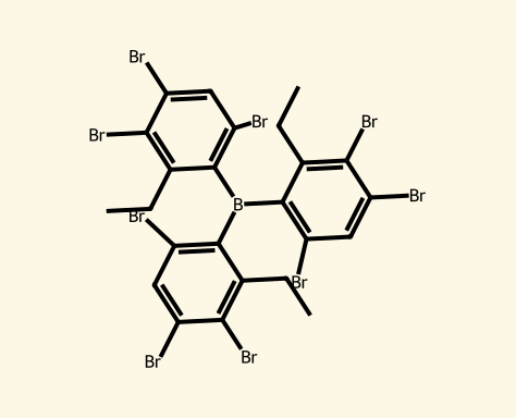 CCc1c(Br)c(Br)cc(Br)c1B(c1c(Br)cc(Br)c(Br)c1CC)c1c(Br)cc(Br)c(Br)c1CC